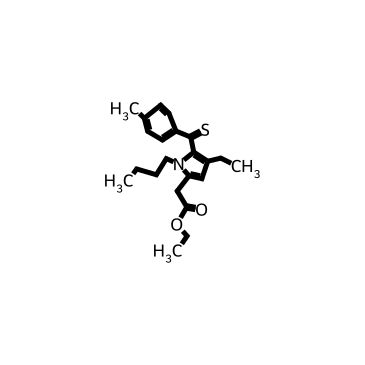 CCCCn1c(CC(=O)OCC)cc(CC)c1C(=S)c1ccc(C)cc1